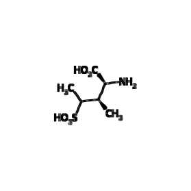 CC([C@H](C)[C@H](N)C(=O)O)S(=O)(=O)O